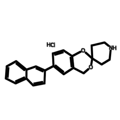 Cl.c1ccc2cc(-c3ccc4c(c3)COC3(CCNCC3)O4)ccc2c1